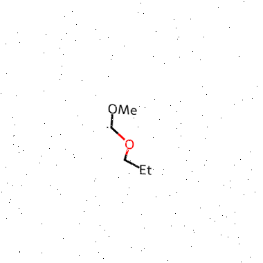 CCCO[CH]OC